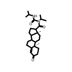 CC(C)NC(=O)N(C(=O)C1CCC2C3CCC4=CC(=O)CC[C@]4(C)C3CC[C@]12C)C(C)C